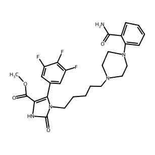 COC(=O)c1[nH]c(=O)n(CCCCCN2CCN(c3ccccc3C(N)=O)CC2)c1-c1cc(F)c(F)c(F)c1